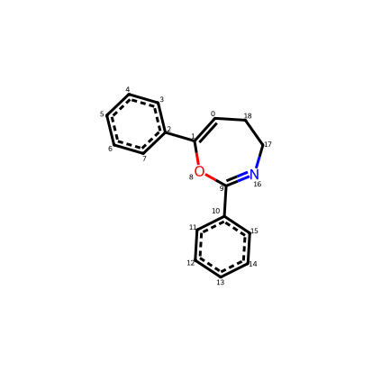 C1=C(c2ccccc2)OC(c2ccccc2)=NCC1